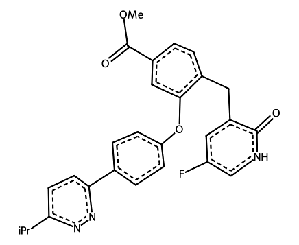 COC(=O)c1ccc(Cc2cc(F)c[nH]c2=O)c(Oc2ccc(-c3ccc(C(C)C)nn3)cc2)c1